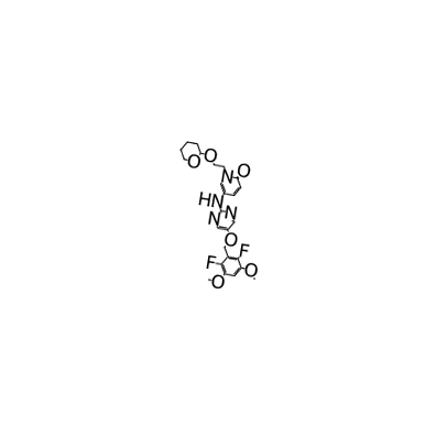 COc1cc(OC)c(F)c(COc2cnc(Nc3ccc(=O)n(CCOC4CCCCO4)c3)nc2)c1F